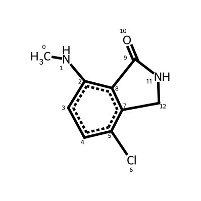 CNc1ccc(Cl)c2c1C(=O)NC2